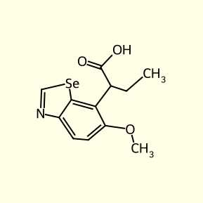 CCC(C(=O)O)c1c(OC)ccc2nc[se]c12